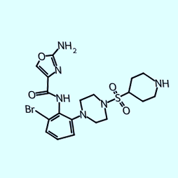 Nc1nc(C(=O)Nc2c(Br)cccc2N2CCN(S(=O)(=O)C3CCNCC3)CC2)co1